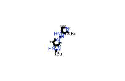 CC(C)(C)c1nc2c[n+](-c3nc4c(C(C)(C)C)nccc4[nH]3)ccc2[nH]1